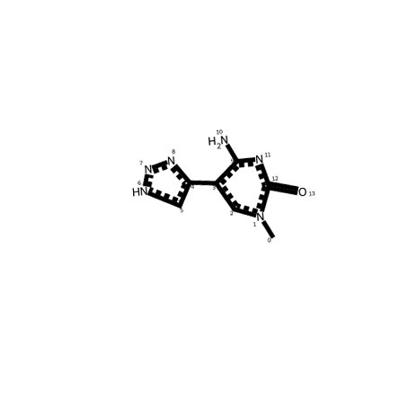 Cn1cc(-c2c[nH]nn2)c(N)nc1=O